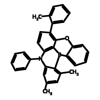 Cc1cc(C)c2c(c1)N(c1ccccc1)c1ccc(-c3ccccc3C)c3c1B2c1ccccc1O3